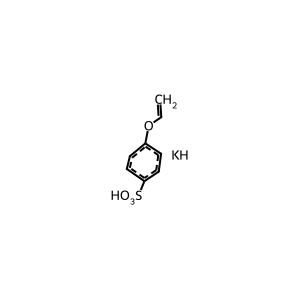 C=COc1ccc(S(=O)(=O)O)cc1.[KH]